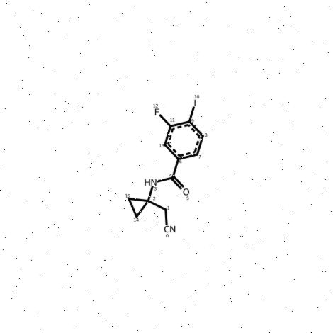 N#CCC1(NC(=O)c2ccc(I)c(F)c2)CC1